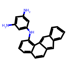 Nc1cc(N)cc(Nc2cccc3ccc4cc5ccccc5cc4c23)c1